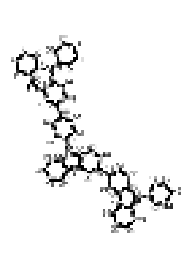 c1ccc(N2c3ccccc3Oc3cc(-c4ccc(-n5c6ccccc6c6cc(-c7ccc8c(c7)c7ccccc7n8-c7ccccc7)ccc65)cc4)ccc32)cc1